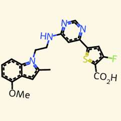 COc1cccc2c1cc(C)n2CCNc1cc(-c2cc(F)c(C(=O)O)s2)ncn1